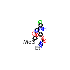 CCN1CCN(C(=O)COc2ccc(C3c4[nH]c5ccc(Cl)cc5c4CCN3C(=O)Oc3ccc(OC)cc3)cc2)CC1